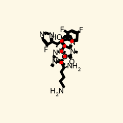 C=[N+](/C=N\N(C)C[C@](O)(c1ccc(F)cc1F)[C@@H](C)c1ncncc1F)C(C)OC(=O)N(C)c1ncccc1COC(=O)[C@@H](N)CCCCN